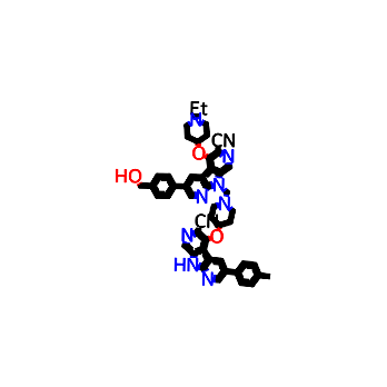 CCN1CCC(Oc2c(C#N)ncc3c2c2cc(-c4ccc(CO)cc4)cnc2n3CN2CCC(Oc3c(C#N)ncc4[nH]c5ncc(-c6ccc(C)cc6)cc5c34)CC2)CC1